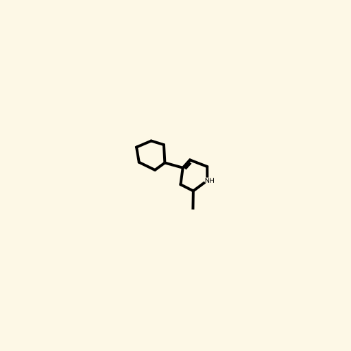 CC1CC(C2CCCCC2)=CCN1